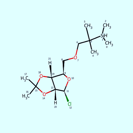 C[SiH](C)C(C)(C)COC[C@H]1O[C@@H](Cl)[C@@H]2OC(C)(C)O[C@@H]21